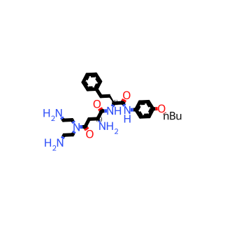 CCCCOc1ccc(NC(=O)[C@H](CCc2ccccc2)NC(=O)[C@@H](N)CC(=O)N(CCN)CCN)cc1